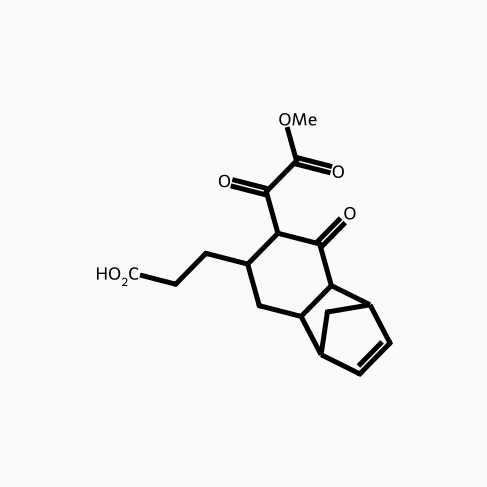 COC(=O)C(=O)C1C(=O)C2C3C=CC(C3)C2CC1CCC(=O)O